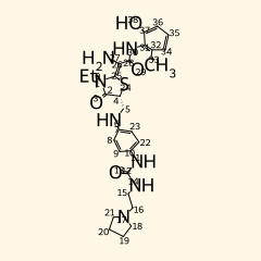 CCN1C(=O)[C@@H](CNc2ccc(NC(=O)NCCN3CCCC3)cc2)S/C1=C(/N)C(=O)Nc1c(C)cccc1O